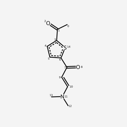 CC(=O)c1ccc(C(=O)/C=C/N(C)C)s1